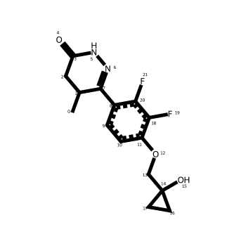 CC1CC(=O)NN=C1c1ccc(OCC2(O)CC2)c(F)c1F